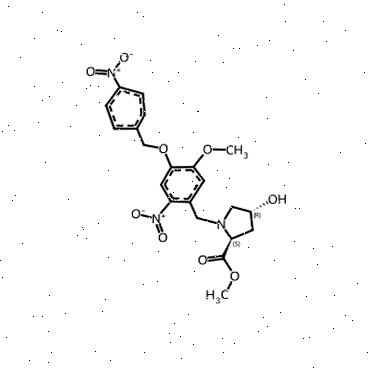 COC(=O)[C@@H]1C[C@@H](O)CN1Cc1cc(OC)c(OCc2ccc([N+](=O)[O-])cc2)cc1[N+](=O)[O-]